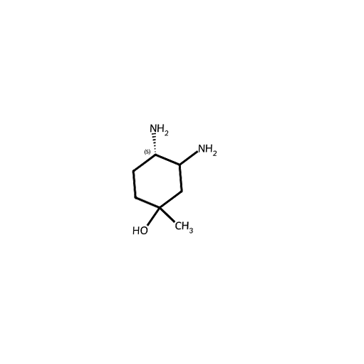 CC1(O)CC[C@H](N)C(N)C1